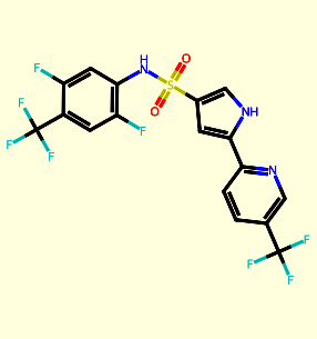 O=S(=O)(Nc1cc(F)c(C(F)(F)F)cc1F)c1c[nH]c(-c2ccc(C(F)(F)F)cn2)c1